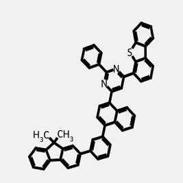 CC1(C)c2ccccc2-c2ccc(-c3cccc(-c4ccc(-c5cc(-c6cccc7c6sc6ccccc67)nc(-c6ccccc6)n5)c5ccccc45)c3)cc21